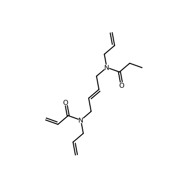 C=CCN(C/C=C/CN(CC=C)C(=O)CC)C(=O)C=C